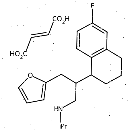 CC(C)NCC(Cc1ccco1)C1CCCc2cc(F)ccc21.O=C(O)C=CC(=O)O